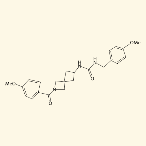 COc1ccc(CNC(=O)NC2CC3(C2)CN(C(=O)c2ccc(OC)cc2)C3)cc1